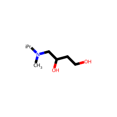 CC(C)N(C)CC(O)CCO